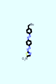 CCC(C)Cc1ccc(/N=N/c2ccc(/N=N/c3ncc([N+](=O)[O-])s3)cc2)cc1